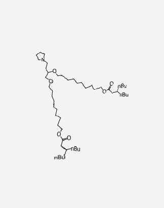 CCCCC(CCCC)CC(=O)OCCCCCCCCCCOCC(CCN1CCCC1)OCCCCCCCCCCOC(=O)CC(CCCC)CCCC